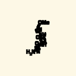 COCCn1ccc(NC(=O)c2cc(NC(=O)c3cnc(N)s3)c(C)cc2F)n1